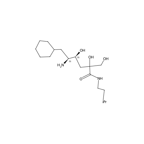 CC(C)CCNC(=O)C(O)(CO)C[C@H](O)[C@@H](N)CC1CCCCC1